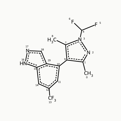 Cc1nn(C(F)F)c(C)c1-c1cc(C(F)(F)F)cc2[nH]ncc12